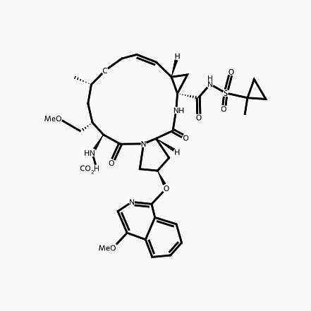 COC[C@@H]1C[C@H](C)CC/C=C\[C@@H]2C[C@@]2(C(=O)NS(=O)(=O)C2(C)CC2)NC(=O)[C@@H]2C[C@@H](Oc3ncc(OC)c4ccccc34)CN2C(=O)[C@H]1NC(=O)O